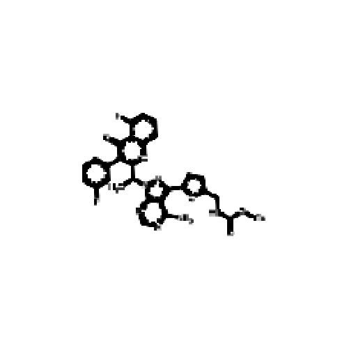 CC(c1oc2cccc(F)c2c(=O)c1-c1cccc(F)c1)n1nc(-c2ccc(CNC(=O)OC(C)(C)C)o2)c2c(N)ncnc21